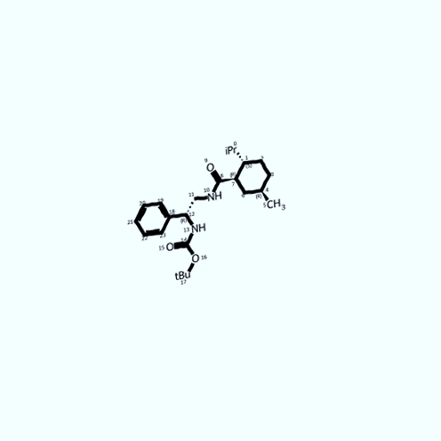 CC(C)[C@@H]1CC[C@@H](C)C[C@H]1C(=O)NC[C@H](NC(=O)OC(C)(C)C)c1ccccc1